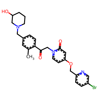 Cc1cc(CN2CCCC(O)C2)ccc1C(=O)Cn1ccc(OCc2ccc(Br)cn2)cc1=O